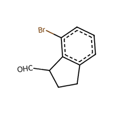 O=CC1CCc2cccc(Br)c21